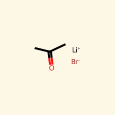 CC(C)=O.[Br-].[Li+]